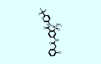 NS(=O)(=O)c1cc(NC(=O)Cc2ccccc2Cl)ccc1C(=O)Nc1ccc(C(F)(F)F)nc1